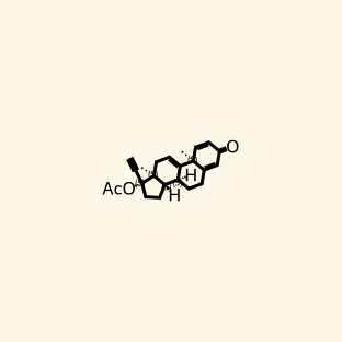 C#C[C@]1(OC(C)=O)CC[C@H]2[C@@H]3CCC4=CC(=O)C=C[C@]4(C)C3=CC[C@@]21C